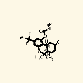 CCCCC(F)(F)c1cc(OC(=O)NCCC)c2c(c1)OC(C)(C)[C@@H]1CC=C(C)C[C@@H]21